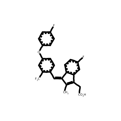 CC1=C(CC(=O)O)c2cc(F)ccc2/C1=C\c1ccc(Oc2ccc(F)cc2)cc1C(F)(F)F